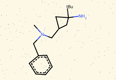 CN(Cc1ccccc1)CC1CC(N)(C(C)(C)C)C1